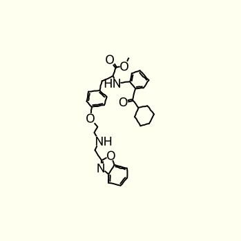 COC(=O)C(Cc1ccc(OCCNCc2nc3ccccc3o2)cc1)Nc1ccccc1C(=O)C1CCCCC1